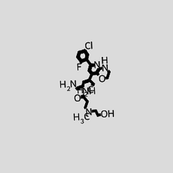 C=C/C(=C\C(=C/N)NC(=O)CCN(C)CCO)c1cc(-c2cc(Cl)ccc2F)nc2c1OCCN2